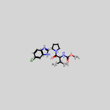 COC(=O)NC(C(=O)N1CCC[C@H]1c1nc2ccc(Br)cc2[nH]1)C(C)C